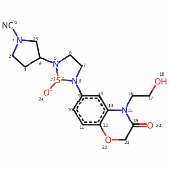 N#CN1CCC(N2CCN(c3ccc4c(c3)N(CCO)C(=O)CO4)[S+]2[O-])C1